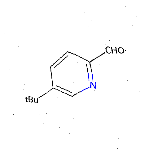 CC(C)(C)c1ccc([C]=O)nc1